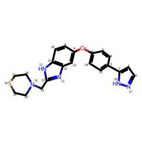 c1cc(-c2ccc(Oc3ccc4[nH]c(CN5CCSCC5)nc4c3)cc2)[nH]n1